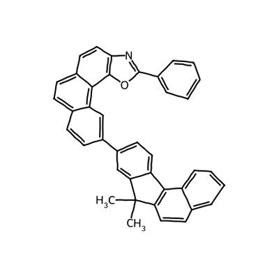 CC1(C)c2cc(-c3ccc4ccc5ccc6nc(-c7ccccc7)oc6c5c4c3)ccc2-c2c1ccc1ccccc21